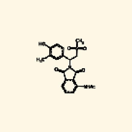 CC(=O)Nc1cccc2c1C(=O)N(C(CS(C)(=O)=O)c1ccc(O)c(C)c1)C2=O